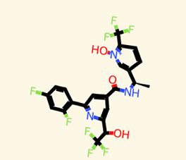 C[C@@H](NC(=O)c1cc(-c2ccc(F)cc2F)nc(C(O)C(F)(F)F)c1)c1ccc(C(F)(F)F)[n+](O)c1